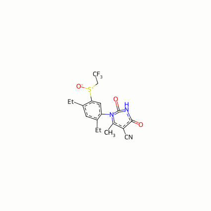 CCc1cc(CC)c([S+]([O-])CC(F)(F)F)cc1-n1c(C)c(C#N)c(=O)[nH]c1=O